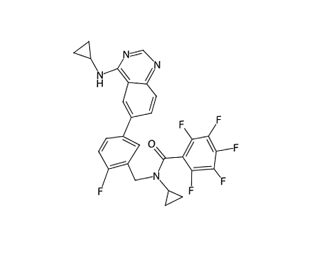 O=C(c1c(F)c(F)c(F)c(F)c1F)N(Cc1cc(-c2ccc3ncnc(NC4CC4)c3c2)ccc1F)C1CC1